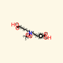 CC(C)(C)OC(=O)N(CCCCCCCC(=O)O)CCCCc1ccc(C(=O)O)cc1